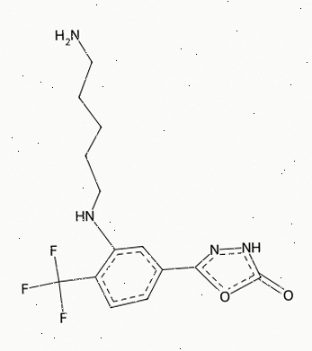 NCCCCCNc1cc(-c2n[nH]c(=O)o2)ccc1C(F)(F)F